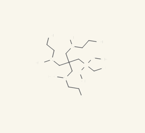 CCCN(C)CC(CN(C)CCC)(CN(C)CCC)C[Si](CC)(OC)OC